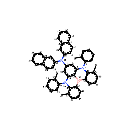 Cc1ccccc1N1c2cc(N(c3ccc4ccccc4c3)c3ccc4ccccc4c3)cc3c2B(c2cccc(C)c21)c1cccc(C)c1N3c1ccccc1C